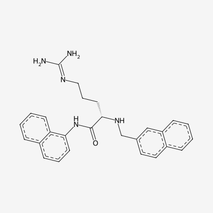 NC(N)=NCCC[C@H](NCc1ccc2ccccc2c1)C(=O)Nc1cccc2ccccc12